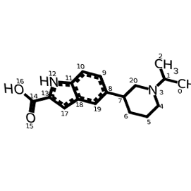 CC(C)N1CCCC(c2ccc3[nH]c(C(=O)O)cc3c2)C1